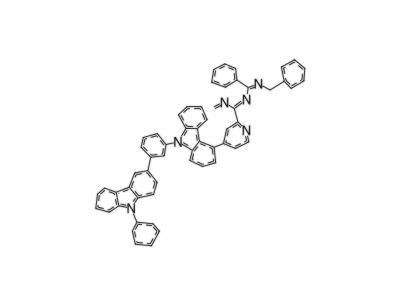 C=N/C(=N\C(=N/Cc1ccccc1)c1ccccc1)c1cc(-c2cccc3c2c2ccccc2n3-c2cccc(-c3ccc4c(c3)c3ccccc3n4-c3ccccc3)c2)ccn1